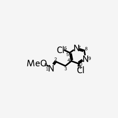 CON=CCc1c(Cl)ncnc1Cl